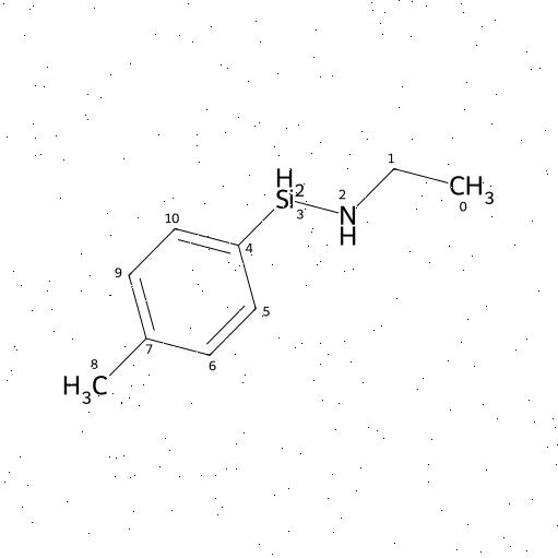 CCN[SiH2]c1ccc(C)cc1